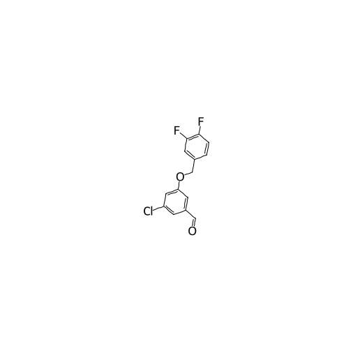 O=Cc1cc(Cl)cc(OCc2ccc(F)c(F)c2)c1